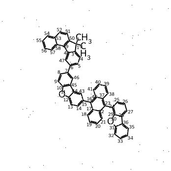 CC1(C)c2ccc(-c3ccc4oc5ccc(-c6c7ccccc7c(-c7cccc8c7oc7ccccc78)c7ccccc67)cc5c4c3)cc2-c2c1ccc1ccccc21